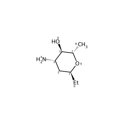 CC[C@H]1C[C@H](N)[C@@H](O)[C@H](C)O1